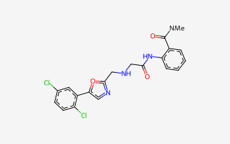 CNC(=O)c1ccccc1NC(=O)CNCc1ncc(-c2cc(Cl)ccc2Cl)o1